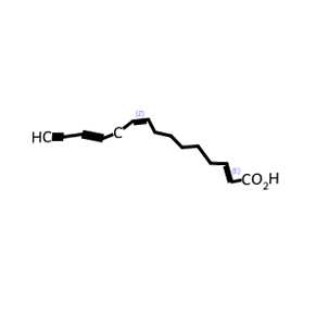 C#CC#CC/C=C\CCCCC/C=C/C(=O)O